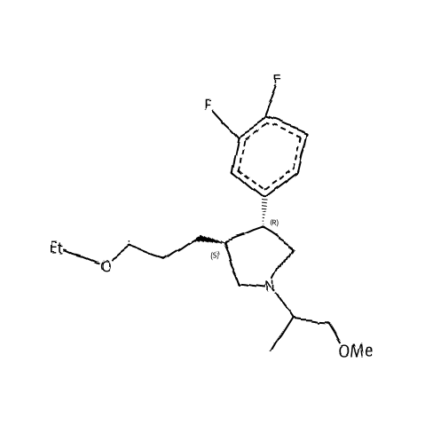 CCO[CH]CC[C@@H]1CN(C(C)COC)C[C@H]1c1ccc(F)c(F)c1